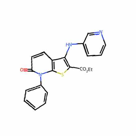 CCOC(=O)c1sc2c(ccc(=O)n2-c2ccccc2)c1Nc1cccnc1